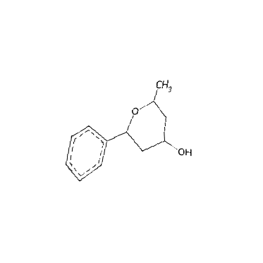 CC1CC(O)CC(c2ccccc2)O1